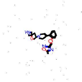 Cc1nc(COc2ccccc2C2CCN(C3COC4(CNC4)C3)CC2)no1